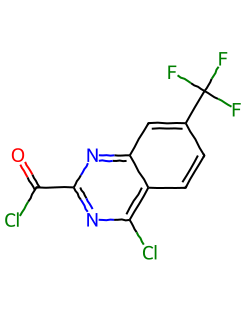 O=C(Cl)c1nc(Cl)c2ccc(C(F)(F)F)cc2n1